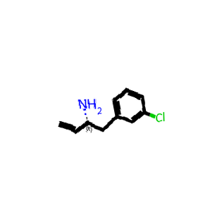 C=C[C@H](N)Cc1cccc(Cl)c1